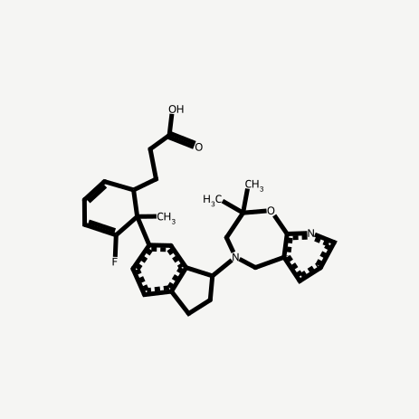 CC1(C)CN(C2CCc3ccc(C4(C)C(F)=CC=CC4CCC(=O)O)cc32)Cc2cccnc2O1